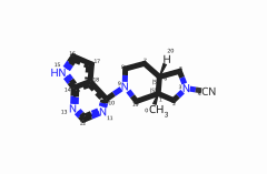 C[C@]12CN(C#N)C[C@H]1CCN(c1ncnc3[nH]ccc13)C2